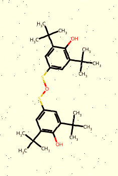 CC(C)(C)c1cc(SOSc2cc(C(C)(C)C)c(O)c(C(C)(C)C)c2)cc(C(C)(C)C)c1O